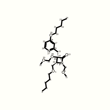 CCCCCOC[C@@H]1N(COC)C(=O)[C@]1(Cc1cc(OCCCCC)ccn1)OCOC